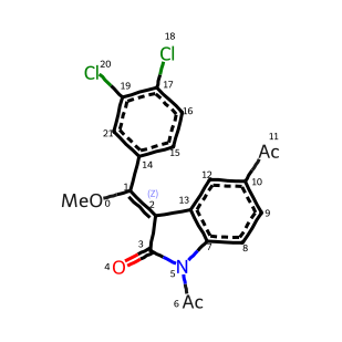 CO/C(=C1\C(=O)N(C(C)=O)c2ccc(C(C)=O)cc21)c1ccc(Cl)c(Cl)c1